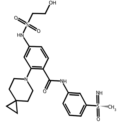 C[S@](=N)(=O)c1cccc(NC(=O)c2ccc(NS(=O)(=O)CCO)cc2N2CCC3(CC2)CC3)c1